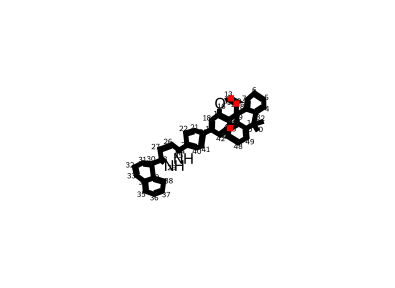 CC1(C)c2ccccc2C2(c3ccccc3Oc3cc(-c4ccc(C(=N)/C=C\C(=N)c5cccc6ccccc56)cc4)ccc32)c2ccccc21